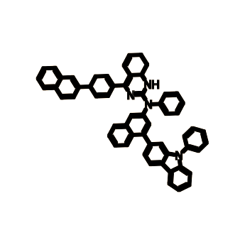 C1=CC2=C(C3=CCC(c4ccc5ccccc5c4)C=C3)N=C(N(c3ccccc3)c3cc(-c4ccc5c6ccccc6n(-c6ccccc6)c5c4)c4ccccc4c3)NC2CC1